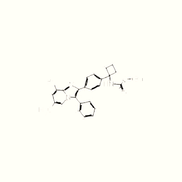 Cc1cc(Br)c2nc(-c3ccc(C4(NC(=O)OC(C)(C)C)CCC4)cc3)c(-c3ccccc3)n2c1